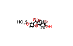 CC1(Br)C(=O)c2cc(OS(=O)(=O)O)ccc2OC1c1ccc(O)c(Br)c1